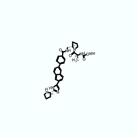 COC(=O)N[C@@H](C)C(=O)N1CCC[C@H]1CNC(=O)c1ccc(-c2ccc3cc(-c4cnc([C@@H]5CCCN5)[nH]4)ccc3c2)cc1